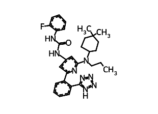 CCCN(c1cc(NC(=O)Nc2ccccc2F)cc(-c2ccccc2-c2nnn[nH]2)n1)C1CCC(C)(C)CC1